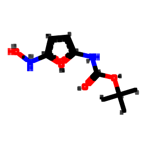 CC(C)(C)OC(=O)Nc1ccc(NO)o1